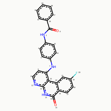 O=C(Nc1ccc(Nc2ccnc3[nH]c(=O)c4ccc(F)cc4c23)cc1)c1ccccc1